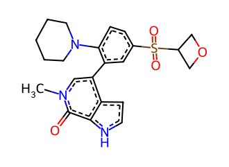 Cn1cc(-c2cc(S(=O)(=O)C3COC3)ccc2N2CCCCC2)c2cc[nH]c2c1=O